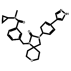 CN(C(=O)c1cccc(CN2C(=O)N(C3C=CC(c4cn[nH]c4)=CC3)CC23CCOCC3)c1)C1CC1